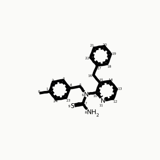 Cc1ccc(CN(C(N)=S)c2ncccc2Cc2ccccc2)cc1